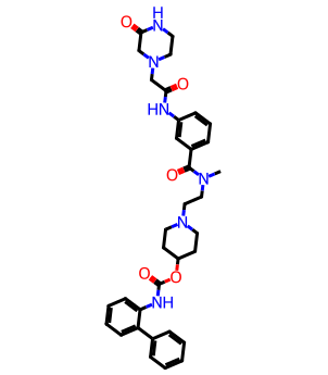 CN(CCN1CCC(OC(=O)Nc2ccccc2-c2ccccc2)CC1)C(=O)c1cccc(NC(=O)CN2CCNC(=O)C2)c1